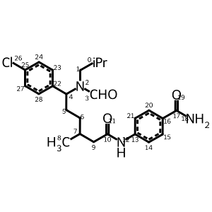 CC(C)CN(C=O)C(CCC(C)CC(=O)Nc1ccc(C(N)=O)cc1)c1ccc(Cl)cc1